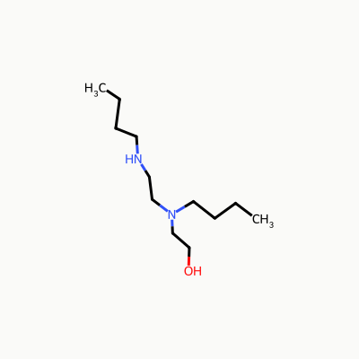 CCCCNCCN(CCO)CCCC